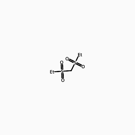 CCS(=O)(=O)CS(=O)(=O)CC